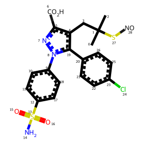 CC(C)(Cc1c(C(=O)O)nn(-c2ccc(S(N)(=O)=O)cc2)c1-c1ccc(Cl)cc1)SN=O